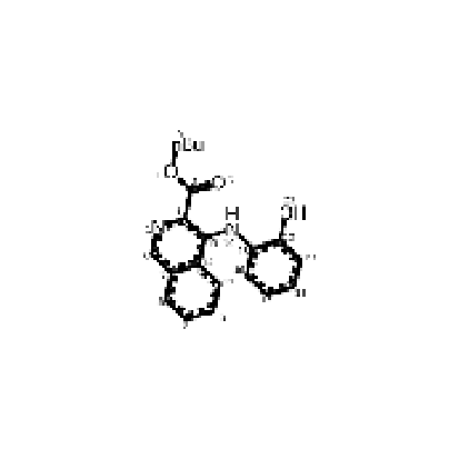 CCCCOC(=O)c1ncc2ccccc2c1Nc1ccccc1O